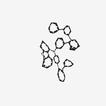 c1ccc(-c2cccc(-c3ccccc3-c3cccc(N(c4ccc(-c5ccccc5-c5ccccc5)cc4)c4cccc5oc6ccccc6c45)c3)c2)cc1